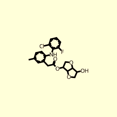 Cc1ccc(Nc2c(F)cccc2Cl)c(CC(=O)OC2COC3C(O)COC23)c1